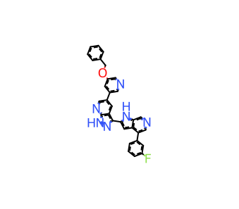 Fc1cccc(-c2cncc3[nH]c(-c4n[nH]c5ncc(-c6cncc(OCc7ccccc7)c6)cc45)cc23)c1